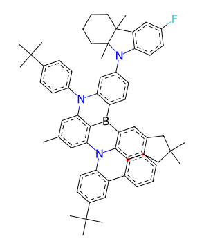 Cc1cc2c3c(c1)N(c1ccc(C(C)(C)C)cc1-c1ccccc1)c1cc4c(cc1B3c1ccc(N3c5ccc(F)cc5C5(C)CCCCC35C)cc1N2c1ccc(C(C)(C)C)cc1)CC(C)(C)C4